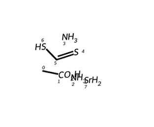 CC(=O)O.N.N.S=CS.[SrH2]